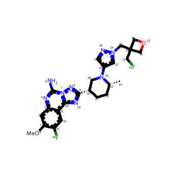 COc1cc2nc(N)n3nc([C@H]4CC[C@@H](C)N(c5cnn(CC6(CF)COC6)c5)C4)nc3c2cc1F